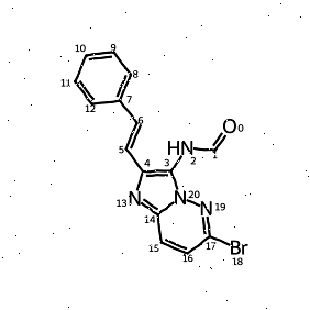 O=CNc1c(C=Cc2ccccc2)nc2ccc(Br)nn12